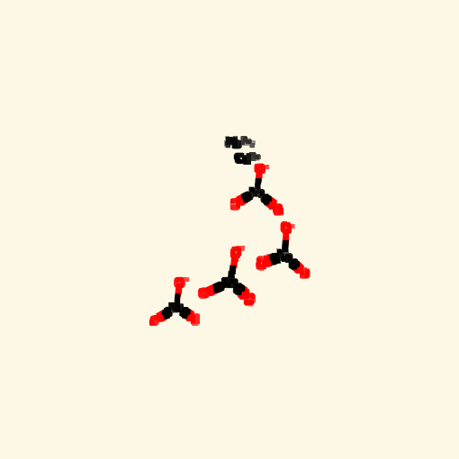 [Cd+2].[O]=[Nb](=[O])[O-].[O]=[Nb](=[O])[O-].[O]=[Nb](=[O])[O-].[O]=[Nb](=[O])[O-].[Pb+2]